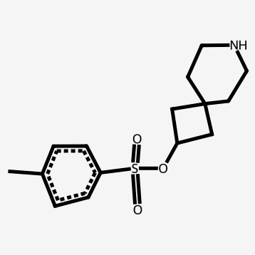 Cc1ccc(S(=O)(=O)OC2CC3(CCNCC3)C2)cc1